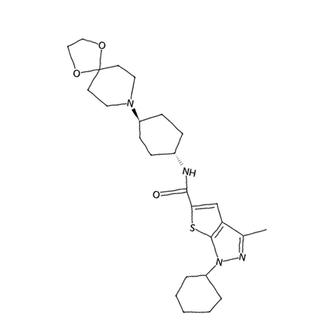 Cc1nn(C2CCCCC2)c2sc(C(=O)N[C@H]3CC[C@H](N4CCC5(CC4)OCCO5)CC3)cc12